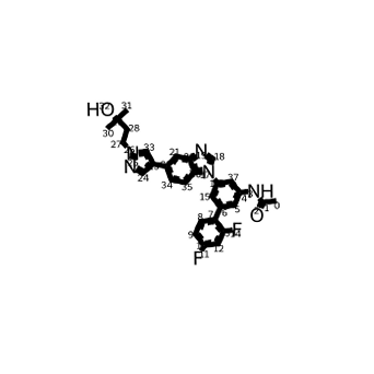 CC(=O)Nc1cc(-c2ccc(F)cc2F)cc(-n2cnc3cc(-c4cnn(CCC(C)(C)O)c4)ccc32)c1